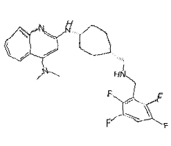 CN(C)c1cc(N[C@H]2CC[C@@H](CNCc3c(F)c(F)cc(F)c3F)CC2)nc2ccccc12